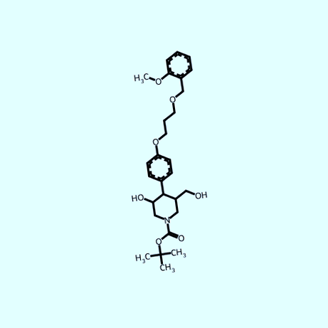 COc1ccccc1COCCCOc1ccc(C2C(O)CN(C(=O)OC(C)(C)C)CC2CO)cc1